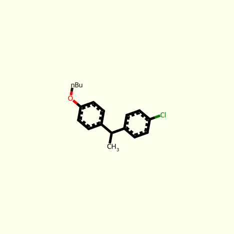 CCCCOc1ccc(C(C)c2ccc(Cl)cc2)cc1